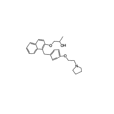 CC(O)COc1ccc2ccccc2c1Cc1ccc(OCCN2CCCC2)cc1